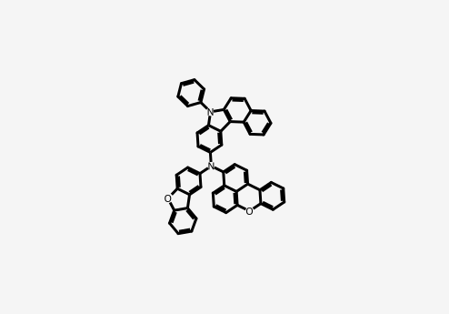 c1ccc(-n2c3ccc(N(c4ccc5oc6ccccc6c5c4)c4ccc5c6c(cccc46)Oc4ccccc4-5)cc3c3c4ccccc4ccc32)cc1